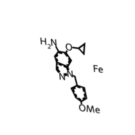 COc1ccc(Cn2ncc3cc(N)c(OC4CC4)cc32)cc1.[Fe]